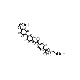 CCCCCCCCCCCCOC(C)c1ccc(C(=O)Oc2ccc(-c3ccc(OCCCCCCCC)cc3)cc2)cc1